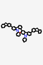 c1ccc(-n2c3ccc(-c4ccc5c(c4)-c4ccccc4C5)cc3c3cc(-c4cccc5c6cc(-c7ccc8c(c7)-c7ccccc7C8)ccc6n(-c6ccccc6)c45)ccc32)cc1